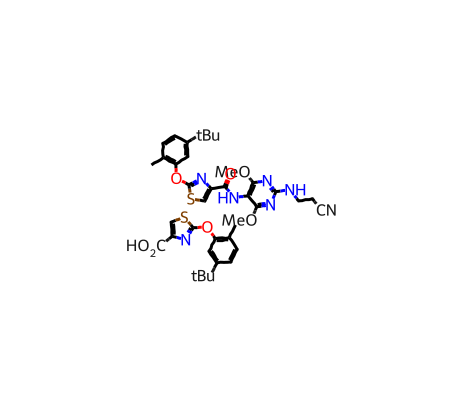 COc1nc(NCCC#N)nc(OC)c1NC(=O)c1csc(Oc2cc(C(C)(C)C)ccc2C)n1.Cc1ccc(C(C)(C)C)cc1Oc1nc(C(=O)O)cs1